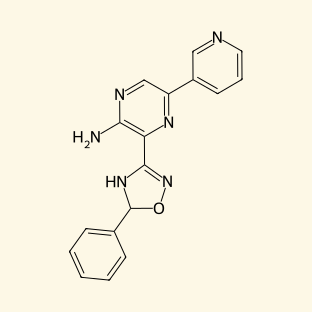 Nc1ncc(-c2cccnc2)nc1C1=NOC(c2ccccc2)N1